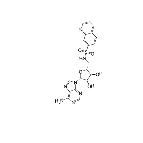 Nc1ncnc2c1ncn2[C@@H]1O[C@H](CNS(=O)(=O)c2ccc3cccnc3c2)[C@@H](O)[C@H]1O